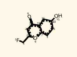 O=c1cc(CF)oc2ccc(O)cc12